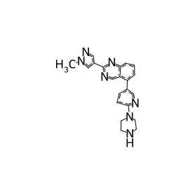 Cn1cc(-c2ncc3c(-c4ccc(N5CCNCC5)nc4)cccc3n2)cn1